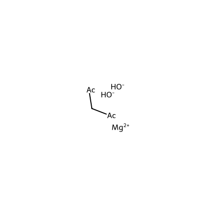 CC(=O)CC(C)=O.[Mg+2].[OH-].[OH-]